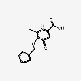 Cc1[nH]c(C(=O)O)cc(=O)c1OCc1ccccc1